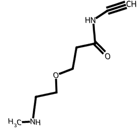 C#CNC(=O)CCOCCNC